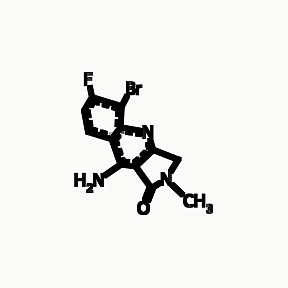 CN1Cc2nc3c(Br)c(F)ccc3c(N)c2C1=O